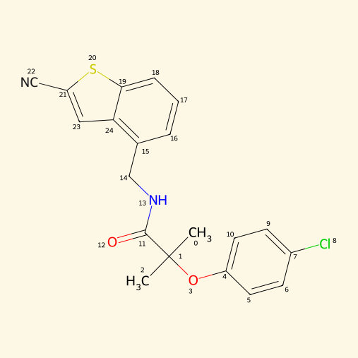 CC(C)(Oc1ccc(Cl)cc1)C(=O)NCc1cccc2sc(C#N)cc12